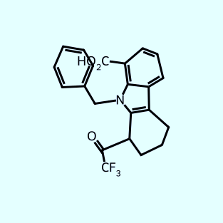 O=C(O)c1cccc2c3c(n(Cc4ccccc4)c12)C(C(=O)C(F)(F)F)CCC3